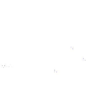 COc1cccc(Cn2ccc3nc(-c4ccccc4)nc-3c2)c1